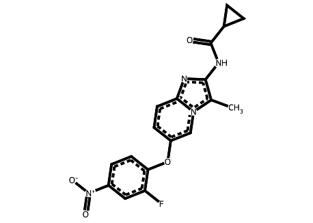 Cc1c(NC(=O)C2CC2)nc2ccc(Oc3ccc([N+](=O)[O-])cc3F)cn12